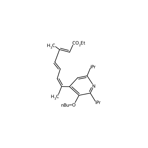 CCCCOc1c(/C(C)=C\C=C\C(C)=CC(=O)OCC)cc(C(C)C)nc1C(C)C